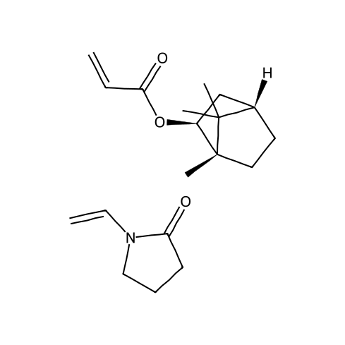 C=CC(=O)O[C@H]1C[C@@H]2CC[C@@]1(C)C2(C)C.C=CN1CCCC1=O